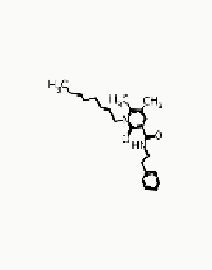 CCCCCCCCn1c(C)c(C)cc(C(=O)NCCc2ccccc2)c1=O